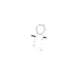 COOC(=O)[C@H]1CCCC[C@H]1C(=O)OOC